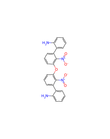 Nc1ccccc1-c1cccc(Oc2cccc(-c3ccccc3N)c2[N+](=O)[O-])c1[N+](=O)[O-]